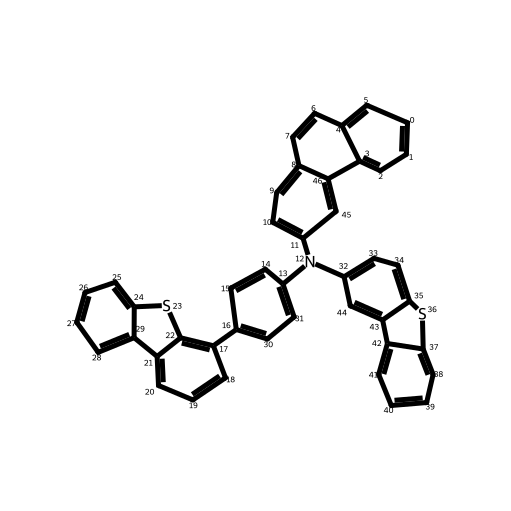 c1ccc2c(c1)ccc1ccc(N(c3ccc(-c4cccc5c4sc4ccccc45)cc3)c3ccc4sc5ccccc5c4c3)cc12